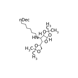 CCCCCCCCCCCCCCCCN[C@H]1[C@H]2OC(C)(C)O[C@H]2O[C@@H]1[C@H]1COC(C)(C)O1